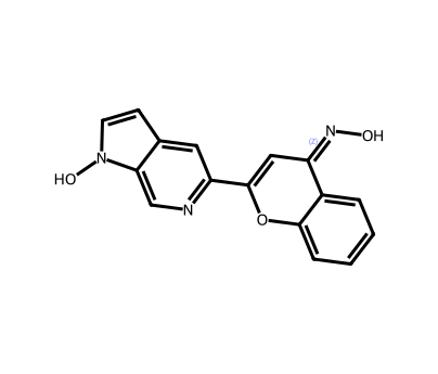 O/N=c1/cc(-c2cc3ccn(O)c3cn2)oc2ccccc12